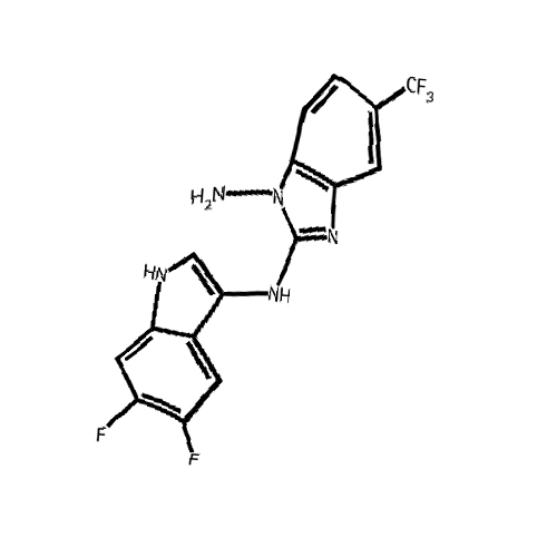 Nn1c(Nc2c[nH]c3cc(F)c(F)cc23)nc2cc(C(F)(F)F)ccc21